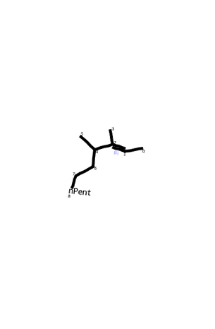 C/C=C(\C)C(C)CCCCCCC